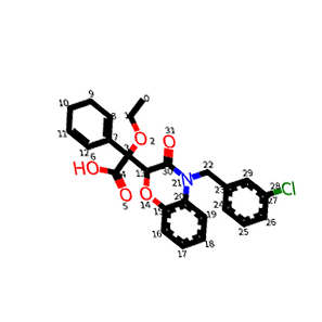 CCOC(C(=O)O)(C1=CCCC=C1)C1Oc2ccccc2N(Cc2cccc(Cl)c2)C1=O